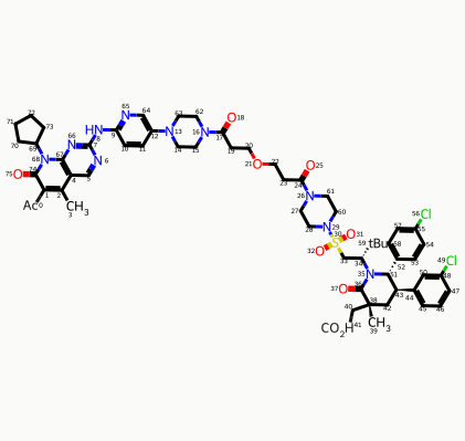 CC(=O)c1c(C)c2cnc(Nc3ccc(N4CCN(C(=O)CCOCCC(=O)N5CCN(S(=O)(=O)C[C@@H](N6C(=O)[C@@](C)(CC(=O)O)C[C@H](c7cccc(Cl)c7)[C@H]6c6ccc(Cl)cc6)C(C)(C)C)CC5)CC4)cn3)nc2n(C2CCCC2)c1=O